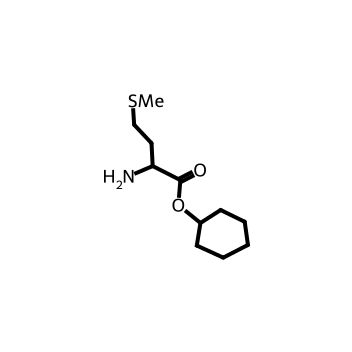 CSCCC(N)C(=O)OC1CCCCC1